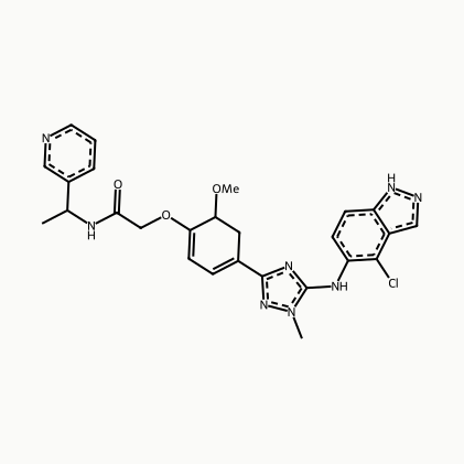 COC1CC(c2nc(Nc3ccc4[nH]ncc4c3Cl)n(C)n2)=CC=C1OCC(=O)NC(C)c1cccnc1